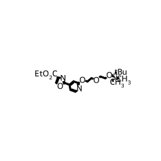 CCOC(=O)c1coc(-c2ccnc(OCCOCCO[Si](C)(C)C(C)(C)C)c2)n1